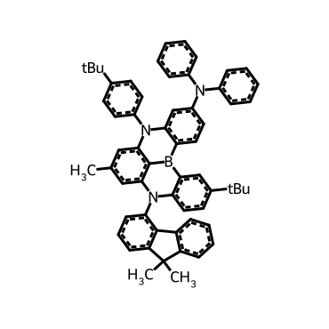 Cc1cc2c3c(c1)N(c1cccc4c1-c1ccccc1C4(C)C)c1ccc(C(C)(C)C)cc1B3c1ccc(N(c3ccccc3)c3ccccc3)cc1N2c1ccc(C(C)(C)C)cc1